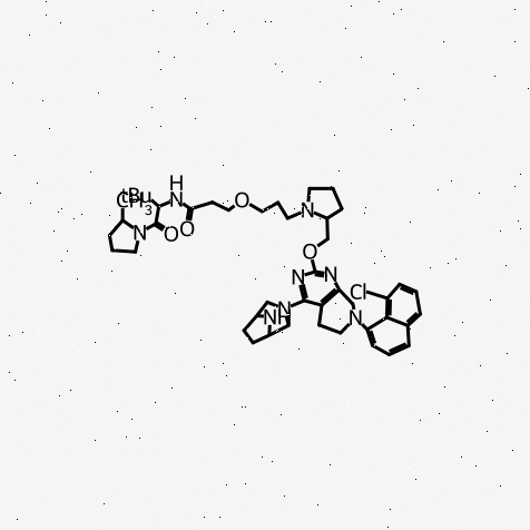 CC1CCCN1C(=O)C(NC(=O)CCOCCCN1CCCC1COc1nc2c(c(N3CC4CCC(C3)N4)n1)CCN(c1cccc3cccc(Cl)c13)C2)C(C)(C)C